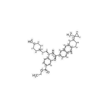 CCOC(=O)c1ccc([C@@H](CCN2CCC(O)CC2)NC(=O)c2ccc3nc4c(cc3c2)CC(C2(C)CC2)CC4)cc1